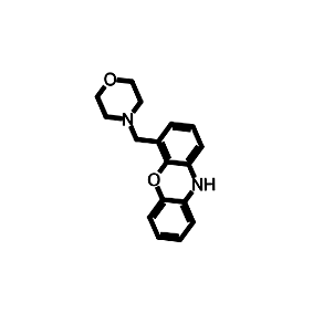 c1ccc2c(c1)Nc1cccc(CN3CCOCC3)c1O2